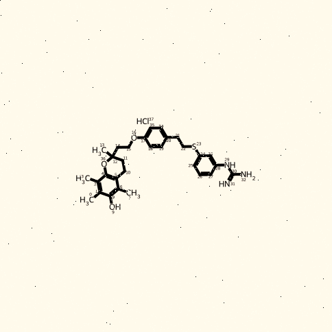 Cc1c(C)c2c(c(C)c1O)CCC(C)(CCOc1ccc(CCSc3cccc(NC(=N)N)c3)cc1)O2.Cl